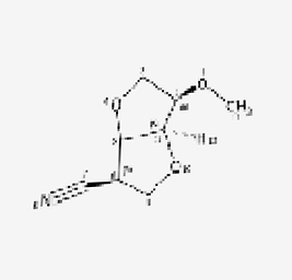 CO[C@@H]1COC2[C@H](C#N)CO[C@@H]21